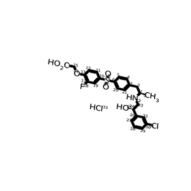 C[C@H](Cc1ccc(S(=O)(=O)c2ccc(OCC(=O)O)c(F)c2)cc1)NC[C@@H](O)c1cccc(Cl)c1.Cl